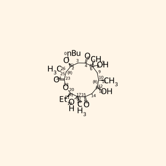 CCCCO[C@H]1CC(=O)[C@](C)(O)C[C@@H](C)[C@@H](O)CC(=O)[C@](C)(O)[C@@H](CC)OC(=O)[C@@H]1C